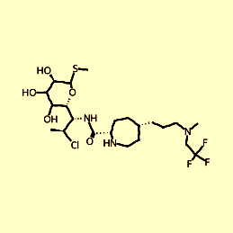 CSC1O[C@H]([C@H](NC(=O)[C@@H]2CC[C@H](CCCN(C)CC(F)(F)F)CCN2)[C@H](C)Cl)C(O)C(O)[C@H]1O